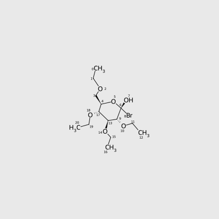 CCOC[C@H]1O[C@](O)(Br)[C@H](OCC)[C@@H](OCC)[C@@H]1OCC